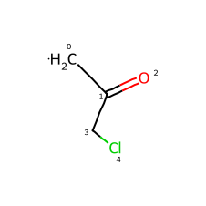 [CH2]C(=O)CCl